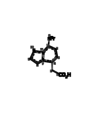 CCCc1ccc(CC(=O)O)c2ccsc12